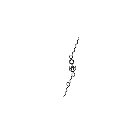 CCCCCCCCCCOc1ccc(-c2ncc(OCCCCOCCCCCC)cn2)cc1